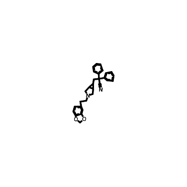 N#CC(CC1C2CN(CCc3ccc4c(c3)OCO4)CC21)(c1ccccc1)c1ccccc1